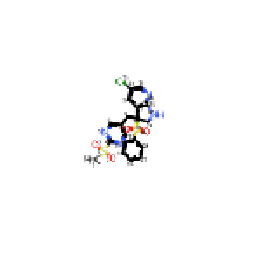 CS(=O)(=O)c1ncc(CC2(S(=O)(=O)c3ccccc3)CNc3ncc(Cl)cc32)cn1